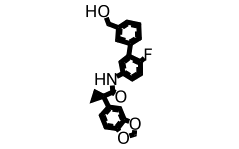 O=C(Nc1ccc(F)c(-c2cccc(CO)c2)c1)C1(c2ccc3c(c2)OCO3)CC1